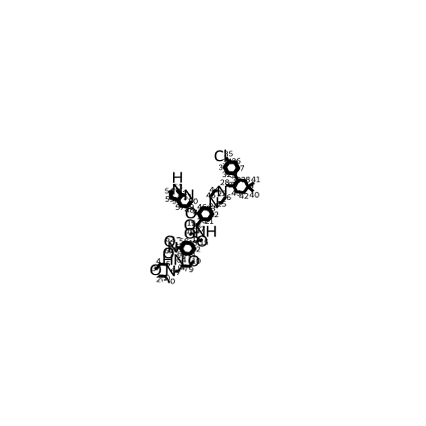 C[C@H]1COCCN1C[C@@H]1COc2cc(S(=O)(=O)NC(=O)c3ccc(N4CCN(CC5=C(c6ccc(Cl)cc6)CC(C)(C)CC5)CC4)cc3Oc3cnc4[nH]ccc4c3)cc([N+](=O)[O-])c2N1